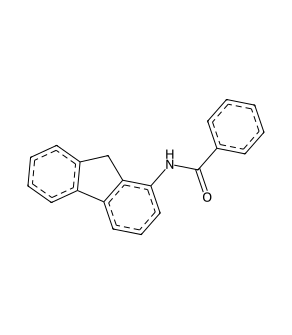 O=C(Nc1cccc2c1Cc1ccccc1-2)c1ccccc1